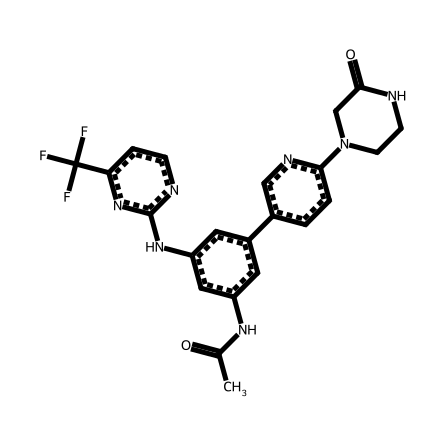 CC(=O)Nc1cc(Nc2nccc(C(F)(F)F)n2)cc(-c2ccc(N3CCNC(=O)C3)nc2)c1